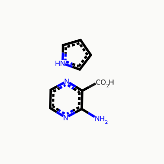 Nc1nccnc1C(=O)O.c1cc[nH]c1